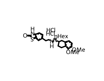 CCCCCCN(NCCc1ccc2[nH]c(=O)sc2c1)C1CCc2c(ccc(OC)c2OC)C1.Cl.Cl